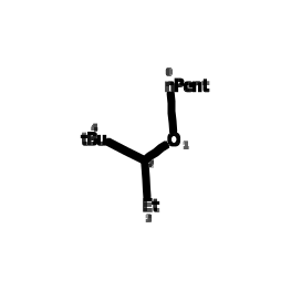 CCCCCOC(CC)C(C)(C)C